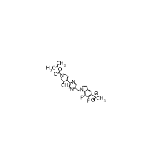 CC(C)OC(=O)N1CC=C(c2cnc(Cn3ccc4cc(S(C)(=O)=O)c(F)c(F)c43)cn2)C(C)C1